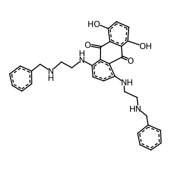 O=C1c2c(O)ccc(O)c2C(=O)c2c(NCCNCc3ccccc3)ccc(NCCNCc3ccccc3)c21